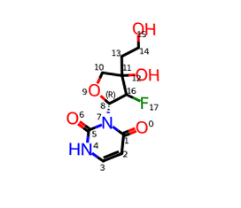 O=c1cc[nH]c(=O)n1[C@@H]1OCC(O)(CCO)C1F